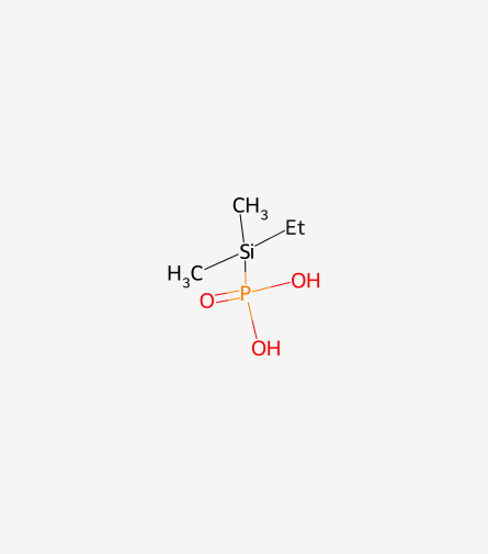 CC[Si](C)(C)P(=O)(O)O